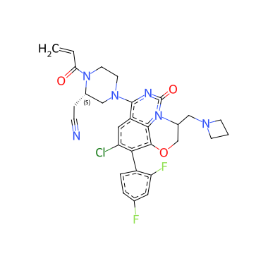 C=CC(=O)N1CCN(c2nc(=O)n3c4c(c(-c5ccc(F)cc5F)c(Cl)cc24)OCC3CN2CCC2)C[C@@H]1CC#N